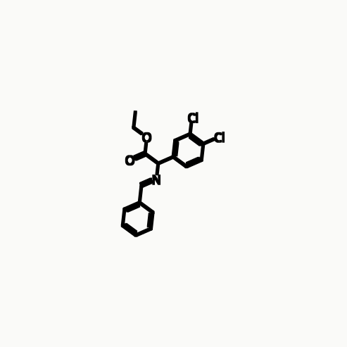 CCOC(=O)C(/N=C/c1ccccc1)c1ccc(Cl)c(Cl)c1